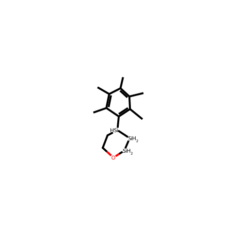 Cc1c(C)c(C)c([SiH]2CCO[SiH2][SiH2]2)c(C)c1C